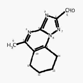 Cc1nc2nc(C=O)nn2c2c1CCCC2